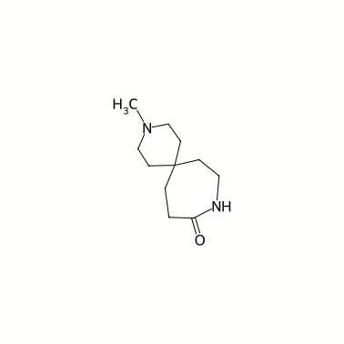 CN1CCC2(CCNC(=O)CC2)CC1